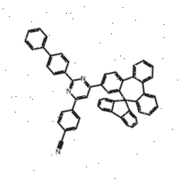 N#Cc1ccc(-c2cc(-c3ccc4c(c3)C3(c5ccccc5-c5ccccc5-4)c4ccccc4-c4ccccc43)nc(-c3ccc(-c4ccccc4)cc3)n2)cc1